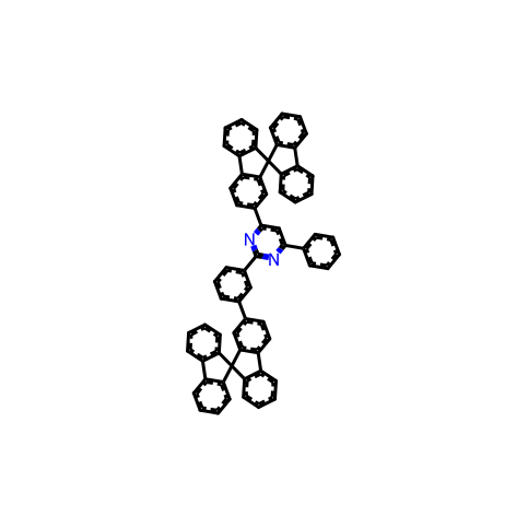 c1ccc(-c2cc(-c3ccc4c(c3)C3(c5ccccc5-c5ccccc53)c3ccccc3-4)nc(-c3cccc(-c4ccc5c(c4)C4(c6ccccc6-c6ccccc64)c4ccccc4-5)c3)n2)cc1